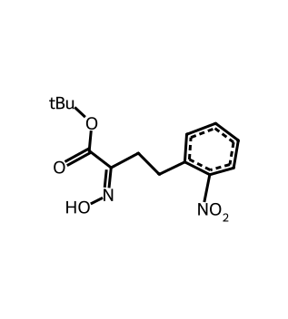 CC(C)(C)OC(=O)C(CCc1ccccc1[N+](=O)[O-])=NO